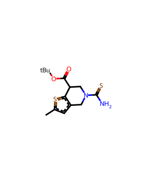 Cc1cc2c(s1)C(C(=O)OC(C)(C)C)CN(C(N)=S)C2